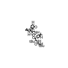 CC(C)(C)NC(=O)N[C@H](C(=O)N1C[C@H]2C([C@H]1C(=O)N[C@@H](CC1(O)CCNC1=O)C(=O)C(=O)NC1CC1)C2(C)C)C(C)(C)C